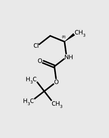 C[C@H](CCl)NC(=O)OC(C)(C)C